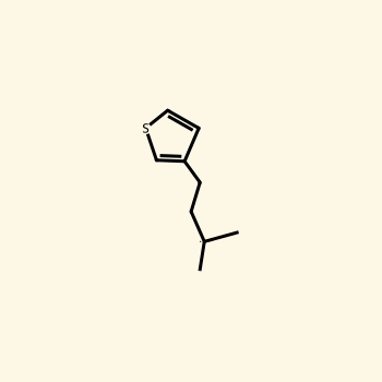 C[C](C)CCc1ccsc1